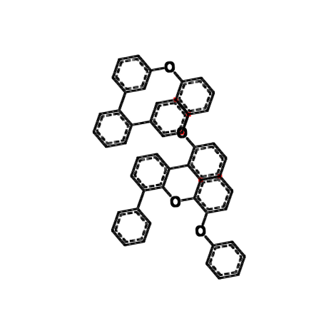 c1ccc(Oc2ccccc2Oc2c(-c3ccccc3)cccc2-c2ccccc2Oc2cccc(Oc3cccc(-c4ccccc4-c4ccccc4)c3)c2)cc1